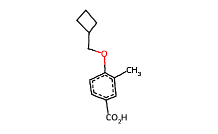 Cc1cc(C(=O)O)ccc1OCC1CCC1